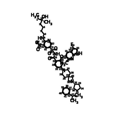 CC[C@@](C)(O)CCCCNc1ncc(S(=O)(=O)NC(=O)c2ccc(N3CCC4(CC3)CN([C@@H]3CCC[C@@H]3c3ccccc3C(C)C)C4)cc2Oc2cc3c(F)c[nH]c3nc2C)cc1[N+](=O)[O-]